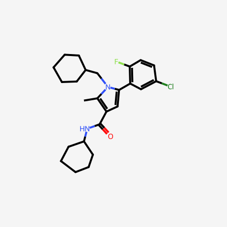 Cc1c(C(=O)NC2CCCCC2)cc(-c2cc(Cl)ccc2F)n1CC1CCCCC1